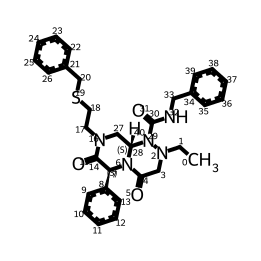 CCN1CC(=O)N2[C@@H](c3ccccc3)C(=O)N(CCSCc3ccccc3)C[C@@H]2N1C(=O)NCc1ccccc1